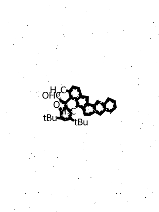 Cc1ccc2cc3c(ccc4cc5ccccc5cc43)c(C)c2c1-c1c(C=O)oc2c(C(C)(C)C)cc(C(C)(C)C)cc12